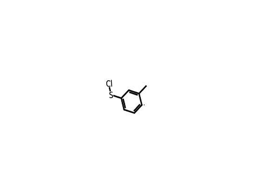 Cc1[c]ccc(SCl)c1